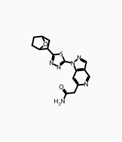 NC(=O)Cc1cc2c(cn1)cnn2-c1nnc(C2CC3CCC2O3)s1